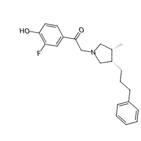 C[C@H]1CN(CC(=O)c2ccc(O)c(F)c2)C[C@H]1CCCc1ccccc1